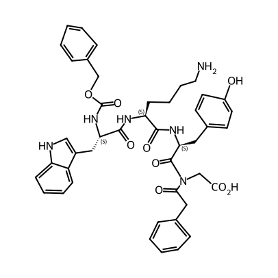 NCCCC[C@H](NC(=O)[C@H](Cc1c[nH]c2ccccc12)NC(=O)OCc1ccccc1)C(=O)N[C@@H](Cc1ccc(O)cc1)C(=O)N(CC(=O)O)C(=O)Cc1ccccc1